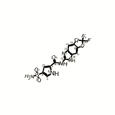 NS(=O)(=O)c1c[nH]c(C(=O)Nc2nc3cc4c(cc3[nH]2)OC(F)(F)O4)c1